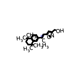 C/C(=C\c1cc(CO)no1)c1ccc2c(c1)C(C)(C)CCC2(C)C